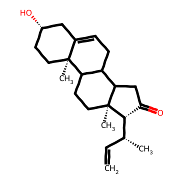 C=C[C@@H](C)[C@H]1C(=O)CC2C3CC=C4C[C@@H](O)CC[C@]4(C)C3CC[C@@]21C